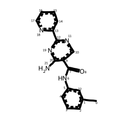 Cc1cccc(NC(=O)c2cnc(-c3ccccn3)nc2N)c1